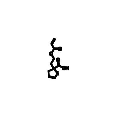 C=CC(=O)OCCC1(C(=O)O)CC=CS1